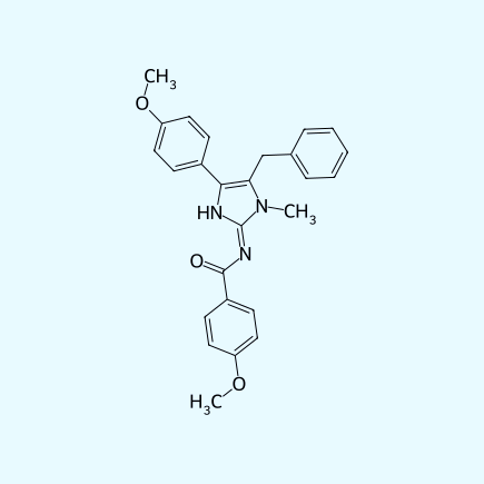 COc1ccc(C(=O)/N=c2\[nH]c(-c3ccc(OC)cc3)c(Cc3ccccc3)n2C)cc1